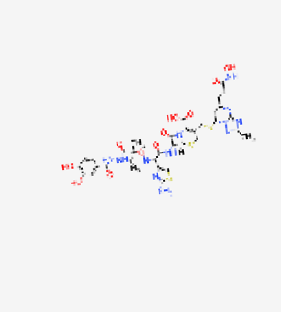 Cc1nc2nc(CCC(=O)NO)cc(SCC3=C(C(=O)O)N4C(=O)[C@@H](NC(=O)/C(=N\OC(C)(C)C(=O)NNC(=O)c5ccc(O)c(O)c5)c5csc(N)n5)[C@H]4SC3)n2n1